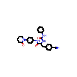 N#Cc1ccc(CC(NC(=O)Nc2ccccc2)C(=O)Nc2ccc(N3CCCCC3=O)cc2)cc1